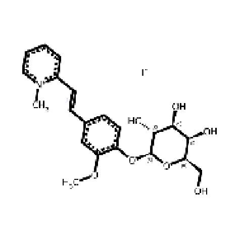 COc1cc(/C=C/c2cccc[n+]2C)ccc1O[C@@H]1O[C@H](CO)[C@H](O)[C@H](O)[C@H]1O.[I-]